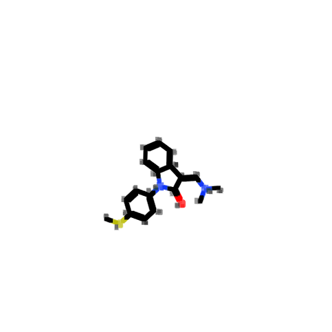 CSc1ccc(N2C(=O)C(=CN(C)C)c3ccccc32)cc1